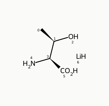 C[C@@H](O)[C@H](N)C(=O)O.[LiH]